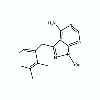 C/C=C(/Cc1nn(C(C)(C)C)c2ncnc(N)c12)C(C)=C(C)C